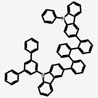 c1ccc(-c2cc(-c3ccccc3)cc(-n3c4ccccc4c4cc(-c5ccccc5-c5ccccc5-c5ccccc5-c5ccc6c(c5)c5ccccc5n6-c5ccccc5)ccc43)c2)cc1